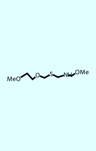 COCCOCSCNCOC